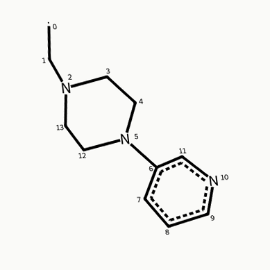 [CH2]CN1CCN(c2cccnc2)CC1